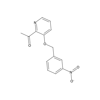 CC(=O)c1ncccc1OCc1cccc([N+](=O)[O-])c1